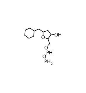 O[C@@H]1CC(CC2CCCCC2)OC1COPOP